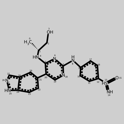 C[C@H](CO)Nc1nc(Nc2ccc([SH](=N)=O)cc2)ncc1-c1ccc2[nH]ncc2c1